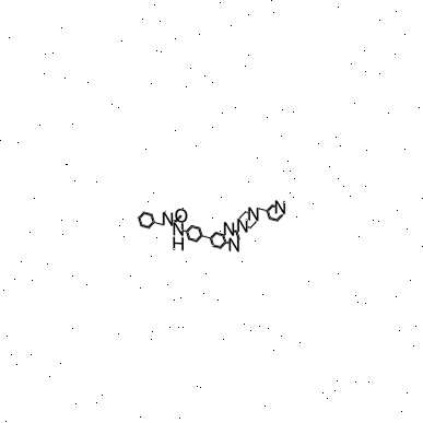 CN(Cc1ccccc1)C(=O)Nc1ccc(-c2ccc3ncc(N4CCN(Cc5cccnc5)CC4)nc3c2)cc1